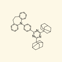 c1ccc2c(c1)CCc1ccccc1N2c1ccc(-c2nc(C34CC5CC(CC(C5)C3)C4)nc(C34CC5CC(CC(C5)C3)C4)n2)cc1